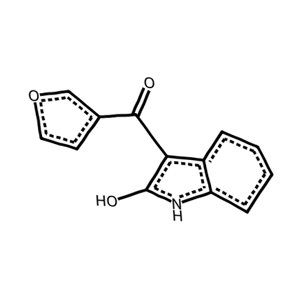 O=C(c1ccoc1)c1c(O)[nH]c2ccccc12